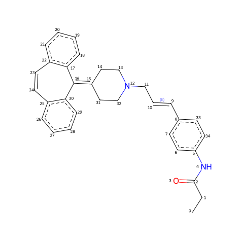 CCC(=O)Nc1ccc(/C=C/CN2CCC(=C3c4ccccc4C=Cc4ccccc43)CC2)cc1